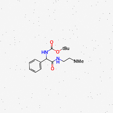 CNCCNC(=O)C(NC(=O)OC(C)(C)C)c1ccccc1